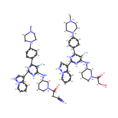 CN1CCN(c2ccc(-c3nc(-c4cnn5ccccc45)nc(N[C@@H]4CCCN(C(=O)CC#N)C4)c3F)cc2)CC1.CN1CCN(c2ccc(-c3nc(-c4cnn5ccccc45)nc(N[C@@H]4CCCN(C(=O)CO)C4)c3F)cc2)CC1